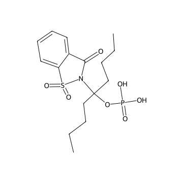 CCCCC(CCCC)(OP(=O)(O)O)N1C(=O)c2ccccc2S1(=O)=O